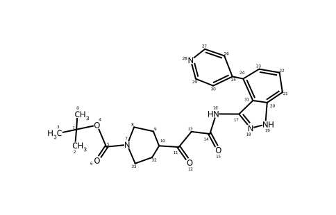 CC(C)(C)OC(=O)N1CCC(C(=O)CC(=O)Nc2n[nH]c3cccc(-c4ccncc4)c23)CC1